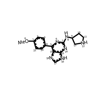 COc1ccc(-c2nc(NC3CCNC3)nc3[nH]cnc23)cc1